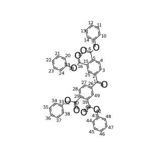 O=C(c1ccc(C(=O)Oc2ccccc2)c(C(=O)Oc2ccccc2)c1)c1ccc(C(=O)Oc2ccccc2)c(C(=O)Oc2ccccc2)c1